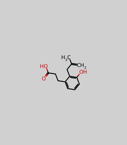 C=C(C)Cc1c(O)cccc1CCC(=O)O